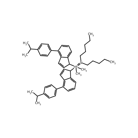 CCCCC[Si](CCCCC)=[Hf]([CH3])([CH3])([CH]1C=Cc2c(-c3ccc(C(C)C)cc3)cccc21)[CH]1C=Cc2c(-c3ccc(C(C)C)cc3)cccc21